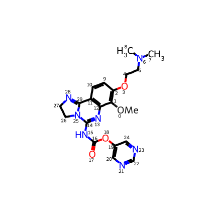 COc1c(OCCN(C)C)ccc2c1N=C(NC(=O)Oc1cncnc1)N1CCN=C21